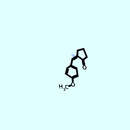 COc1ccc(/C=C2/CCCC2=O)cc1